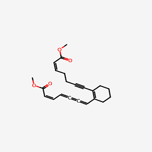 COC(=O)/C=C\C=C=C=CC1=C(C#CCC/C=C\C(=O)OC)CCCC1